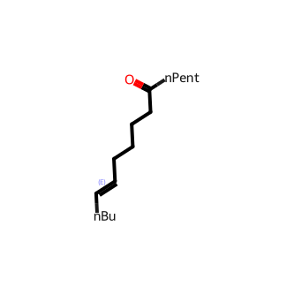 CCCC/C=C/CCCCC(=O)CCCCC